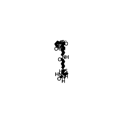 O=C(CCCC[C@@H]1SC[C@@H]2NC(=O)N[C@@H]21)NCCCCC(C(=O)[O-])[N+]1(O)C(=O)CCC1=O